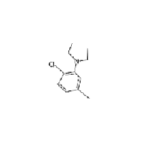 CCN(CC)c1cc(C)ccc1Cl